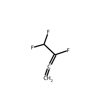 C=C=C(F)C(F)F